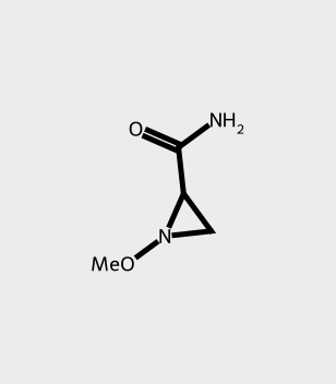 CON1CC1C(N)=O